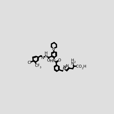 NC(Cc1cn(Cc2cccc(C(=O)Nc3ccc(N4CCCCC4)cc3C(=O)NN=Cc3ccc(Cl)c(C(F)(F)F)c3)c2)nn1)C(=O)O